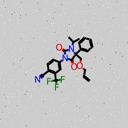 C=CCOCC1(c2ccccc2)C(=O)N(c2ccc(C#N)c(C(F)(F)F)c2)C(=O)N1C(C)C